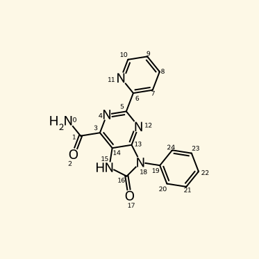 NC(=O)c1nc(-c2ccccn2)nc2c1[nH]c(=O)n2-c1ccccc1